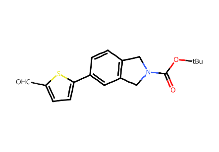 CC(C)(C)OC(=O)N1Cc2ccc(-c3ccc(C=O)s3)cc2C1